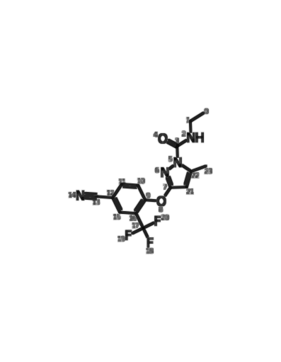 CCNC(=O)n1nc(Oc2ccc(C#N)cc2C(F)(F)F)cc1C